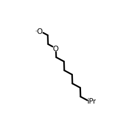 CC(C)CCCCCCCOCC[O]